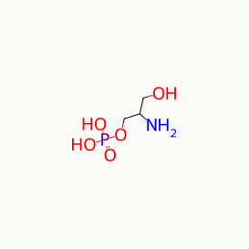 NC(CO)COP(=O)(O)O